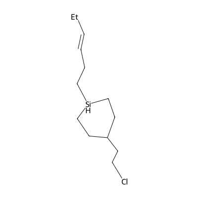 CCC=CCC[SiH]1CCC(CCCl)CC1